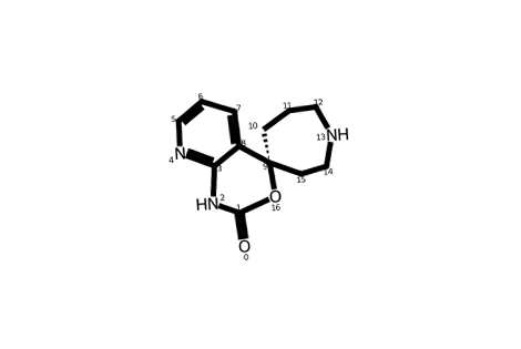 O=C1Nc2ncccc2[C@]2(CCCNCC2)O1